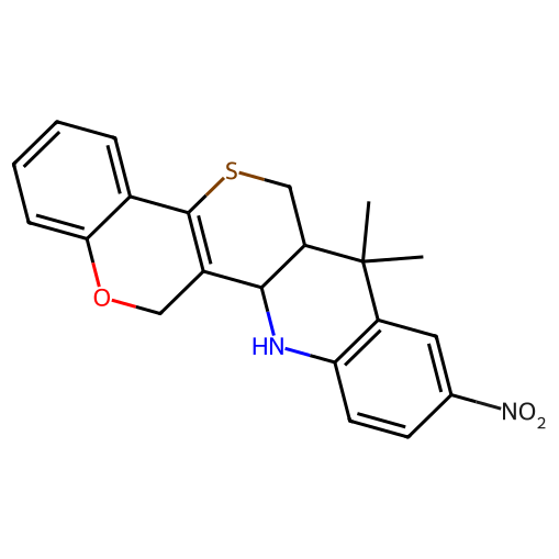 CC1(C)c2cc([N+](=O)[O-])ccc2NC2C3=C(SCC21)c1ccccc1OC3